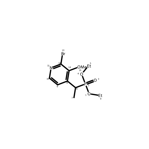 CCOP(=O)(OCC)C(C)c1ccnc(Br)c1OC